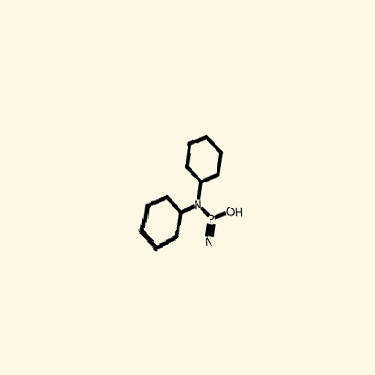 N#P(O)N(C1CCCCC1)C1CCCCC1